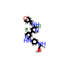 COC[C@H](C)N[C@H]1CC[C@H](Nc2cc(-c3cnc(Cl)c(NCC4(C)CCOCC4)c3)c(F)cn2)CC1